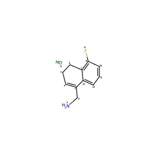 Cl.NCC1=CCCc2c(F)cccc21